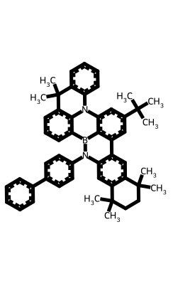 CC(C)(C)c1cc2c3c(c1)N1c4ccccc4C(C)(C)c4cccc(c41)B3N(c1ccc(-c3ccccc3)cc1)c1cc3c(cc1-2)C(C)(C)CCC3(C)C